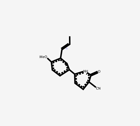 C/C=C/c1cc(-c2ccc(C#N)c(=O)[nH]2)ccc1OC